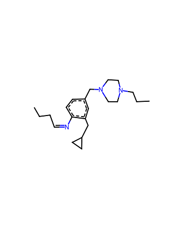 CCC/C=N\c1ccc(CN2CCN(CCC)CC2)cc1CC1CC1